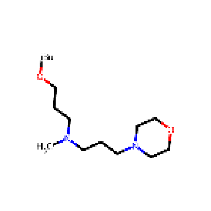 CCC(C)OCCCN(C)CCCN1CCOCC1